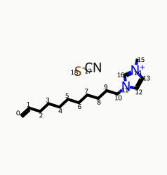 C=CCCCCCCCCCn1cc[n+](C)c1.N#C[S-]